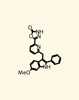 COc1ccc2c(Cc3cccc(-c4n[nH]c(=O)o4)n3)c(-c3ccccc3)[nH]c2c1